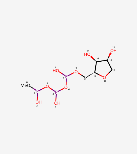 COP(O)OP(O)OP(O)OC[C@H]1OC[C@H](O)[C@@H]1O